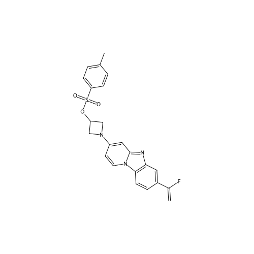 C=C(F)c1ccc2c(c1)nc1cc(N3CC(OS(=O)(=O)c4ccc(C)cc4)C3)ccn12